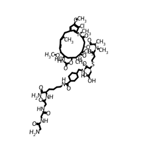 COc1cc2cc(c1Cl)N(C)C(=O)C[C@H](OC(=O)[C@H](C)N(C)C(=O)CCS[C@H](CC(=O)O)C(=O)NCC1CCC(C(=O)NCCCCC(NC(=O)CNC(=O)CNC(=O)CN)C(N)=O)CC1)[C@]1(C)O[C@H]1[C@H](C)C1C[C@@](O)(NC(=O)O1)[C@H](OC)/C=C/C=C(\C)C2